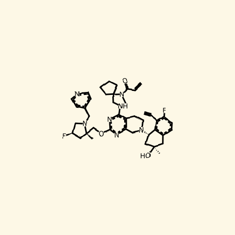 C#Cc1c(F)ccc2c1[C@@H](N1CCc3c(nc(OC[C@]4(C)C[C@@H](F)CN4Cc4ccncc4)nc3NCC3(N(C)C(=O)C=C)CCCC3)C1)C[C@](C)(O)C2